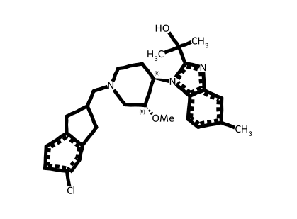 CO[C@@H]1CN(CC2Cc3ccc(Cl)cc3C2)CC[C@H]1n1c(C(C)(C)O)nc2cc(C)ccc21